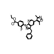 CCOC(=O)c1ccc(-n2nc(Cc3ccccc3)c3cc(-c4c(C)noc4C)cnc32)c(F)c1